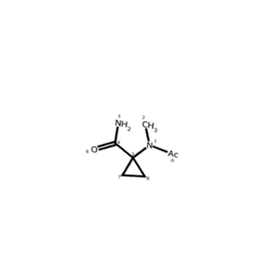 CC(=O)N(C)C1(C(N)=O)CC1